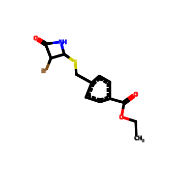 CCOC(=O)c1ccc(CSC2NC(=O)C2Br)cc1